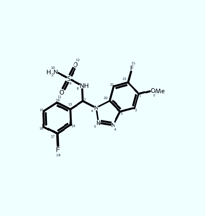 COc1cc2nnn(C(NS(N)(=O)=O)c3cccc(F)c3)c2cc1F